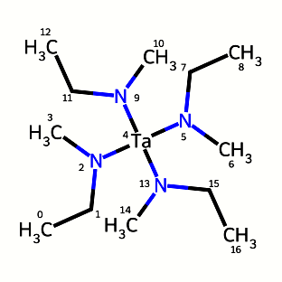 CC[N](C)[Ta]([N](C)CC)([N](C)CC)[N](C)CC